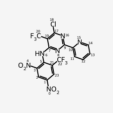 O=[N+]([O-])c1cc([N+](=O)[O-])c(Nc2nc(-c3ccccn3)nc(Cl)c2C(F)(F)F)c(C(F)(F)F)c1